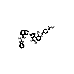 CCOC(=O)CN1CCC(COc2cccc(-c3ccc(N4CCc5cccc(C(=O)Nc6nc7ccccc7s6)c5C4)nc3C(=O)OC(C)(C)C)c2C)CC1